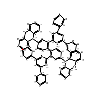 c1ccc(-c2cc(-c3ccccc3)nc(-c3cc(N4c5ccccc5Cc5ccccc54)ccc3-c3ccc(N4c5ccccc5Oc5ccccc54)cc3-c3nc(-c4ccccc4)cc(-c4ccccc4)n3)n2)cc1